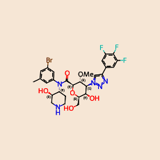 CO[C@@H]1[C@@H](n2cc(-c3cc(F)c(F)c(F)c3)nn2)[C@@H](O)[C@@H](CO)O[C@H]1C(=O)N(c1cc(C)cc(Br)c1)[C@@H]1CCNC[C@H]1O